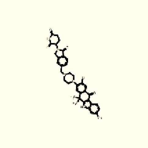 CCc1cc2c(cc1N1CCN(Cc3ccc4c(c3)CN(C3CCC(=O)NC3=O)C4=O)CC1)C(C)(C)c1[nH]c3cc(C#N)ccc3c1C2=O